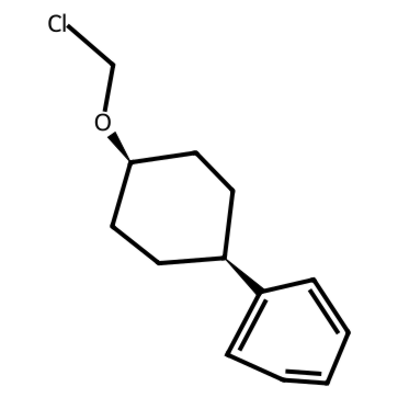 ClCO[C@H]1CC[C@@H](c2ccccc2)CC1